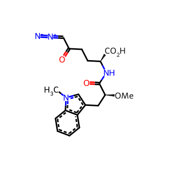 CO[C@@H](Cc1cn(C)c2ccccc12)C(=O)N[C@@H](CCC(=O)C=[N+]=[N-])C(=O)O